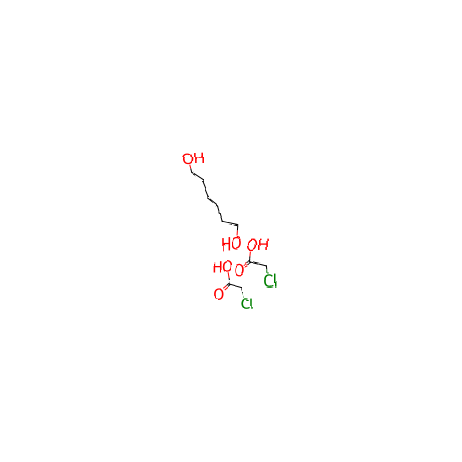 O=C(O)CCl.O=C(O)CCl.OCCCCCCO